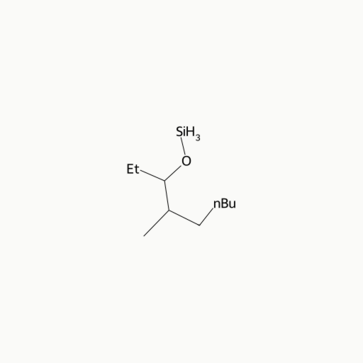 CCCCCC(C)C(CC)O[SiH3]